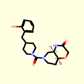 O=C1CO[C@H]2CCN(C(=O)N3CCC(Cc4ccccc4O)CC3)C[C@H]2N1